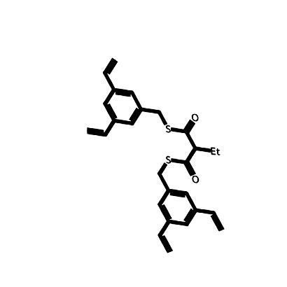 C=Cc1cc(C=C)cc(CSC(=O)C(CC)C(=O)SCc2cc(C=C)cc(C=C)c2)c1